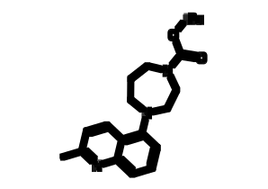 Cc1ccc2c(N3CCCN(C(=O)OC(C)(C)C)CC3)cccc2n1